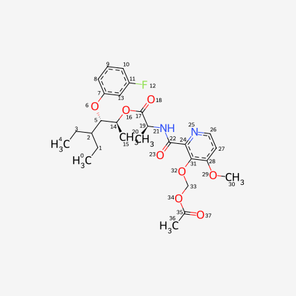 CCC(CC)[C@H](Oc1cccc(F)c1)[C@H](C)OC(=O)[C@H](C)NC(=O)c1nccc(OC)c1OCOC(C)=O